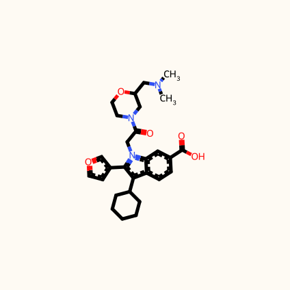 CN(C)CC1CN(C(=O)Cn2c(-c3ccoc3)c(C3CCCCC3)c3ccc(C(=O)O)cc32)CCO1